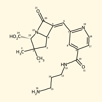 CC1(C)CC2/C(=C\c3cc(C(=O)NCCCN)ccn3)C(=O)N2[C@H]1C(=O)O